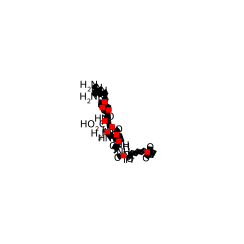 CC(C)[C@H](NC(=O)CCCCCN1C(=O)C=CC1=O)C(=O)N[C@@H](C)C(=O)Nc1ccc(C(=O)NCCC[C@H](NC(=O)c2ccc3c(ccn3Cc3cnc4nc(N)nc(N)c4n3)c2)C(=O)O)c(C(=N)/N=N\N)c1